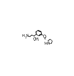 NCC[C@@H](O)c1cccc(OC[C@@H]2CCCN2)c1